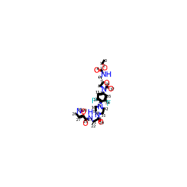 CCOC(=O)NC[C@H]1CN(c2cc(F)c(N3CCN(C(=O)[C@H](C)NC(=O)c4ccno4)CC3)c(F)c2)C(=O)O1